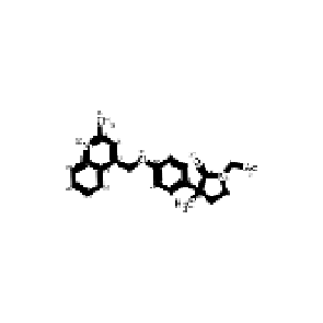 CC(=O)CN1CCC(C)(c2ccc(OCc3cc(C)nc4ccccc34)cc2)C1=O